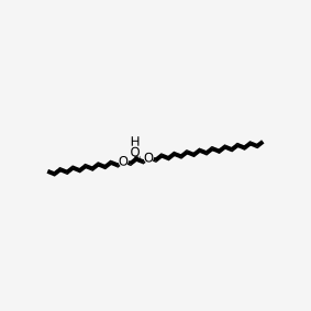 CCCCCCCCCCCCCCCCCCOC[C@H](O)COCCCCCCCCCCCC